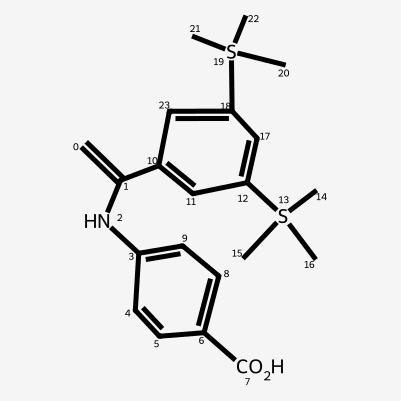 C=C(Nc1ccc(C(=O)O)cc1)c1cc(S(C)(C)C)cc(S(C)(C)C)c1